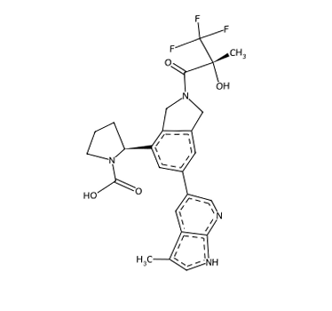 Cc1c[nH]c2ncc(-c3cc4c(c([C@@H]5CCCN5C(=O)O)c3)CN(C(=O)[C@@](C)(O)C(F)(F)F)C4)cc12